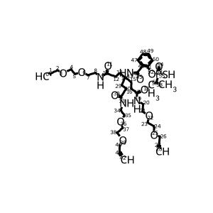 C#CCOCCOCCNC(=O)CCC(CCC(=O)NCCOCCOCC#C)(CCC(=O)NCCOCCOCC#C)NC(=O)c1ccccc1OP(=O)(S)C(C)C